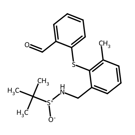 Cc1cccc(CN[S+]([O-])C(C)(C)C)c1Sc1ccccc1C=O